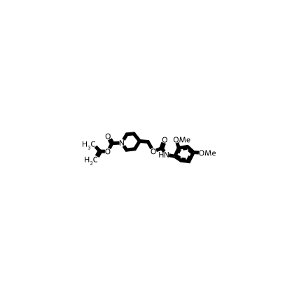 C=C(C)OC(=O)N1CCC(COC(=O)Nc2ccc(OC)cc2OC)CC1